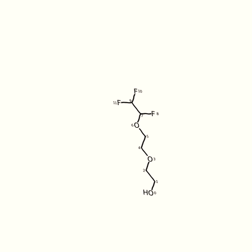 OCCOCCOC(F)C(F)F